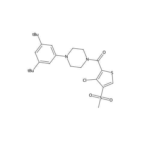 CC(C)(C)c1cc(N2CCN(C(=O)c3scc(S(C)(=O)=O)c3Cl)CC2)cc(C(C)(C)C)c1